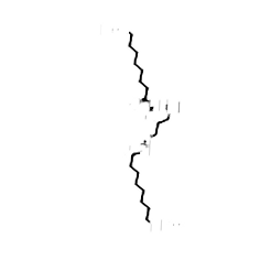 CCCCCCCCCCCCCCCCCC(=O)POCC(CO)OPC(=O)CCCCCCCCCCCCCCCCC